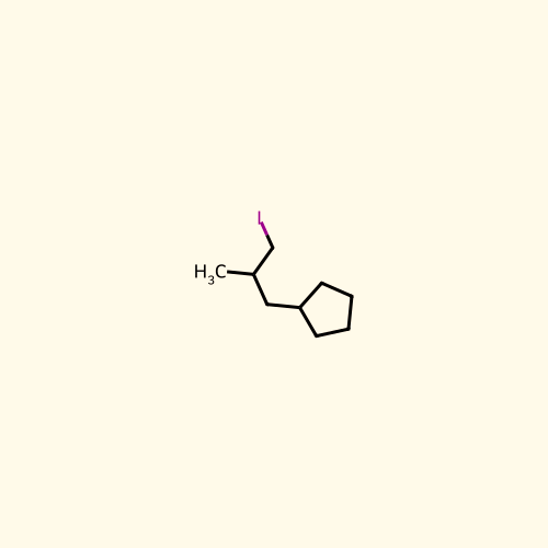 CC(CI)CC1CCCC1